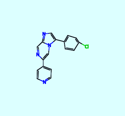 Clc1ccc(-c2cnc3cnc(-c4ccncc4)cn23)cc1